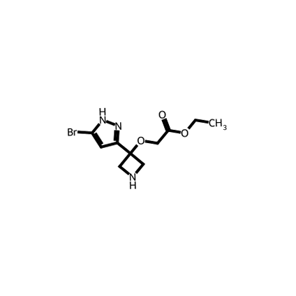 CCOC(=O)COC1(c2cc(Br)[nH]n2)CNC1